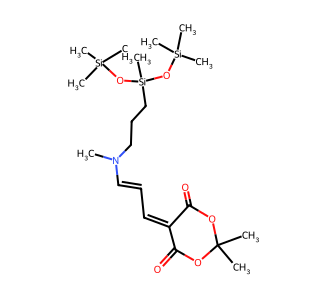 CN(/C=C/C=C1C(=O)OC(C)(C)OC1=O)CCC[Si](C)(O[Si](C)(C)C)O[Si](C)(C)C